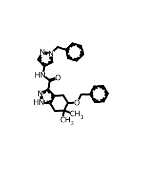 CC1(C)Cc2[nH]nc(C(=O)Nc3cnn(Cc4ccccc4)c3)c2CC1OCc1ccccc1